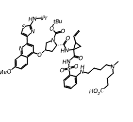 C=CC1CC1(NC(=O)[C@@H]1C[C@@H](Oc2cc(-c3csc(NC(C)C)n3)nc3cc(OC)ccc23)CN1C(=O)OC(C)(C)C)C(=O)NS(=O)(=O)c1ccccc1NCCCCN(C)CCCC(=O)O